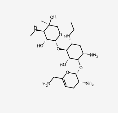 CCN[C@@H]1C[C@H](N)[C@H](O[C@H]2OC(CN)=CC[C@H]2N)[C@H](O)[C@H]1O[C@H]1OC[C@](C)(O)[C@H](NC)[C@H]1O